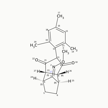 CO/N=C1/[C@H]2CC[C@@H]1[C@H]1C(=O)C(c3c(C)cc(C)cc3C)C(=O)[C@H]12